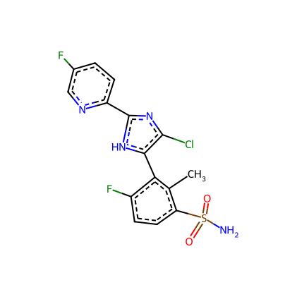 Cc1c(S(N)(=O)=O)ccc(F)c1-c1[nH]c(-c2ccc(F)cn2)nc1Cl